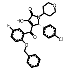 O=C(C1=C(O)C(=O)N(C2CCOCC2)[C@@H]1c1ccc(Cl)cc1)c1cc(F)ccc1OCc1ccccc1